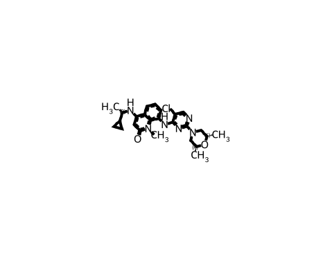 C[C@@H]1CN(c2ncc(Cl)c(Nc3cccc4c(N[C@H](C)C5CC5)cc(=O)n(C)c34)n2)C[C@H](C)O1